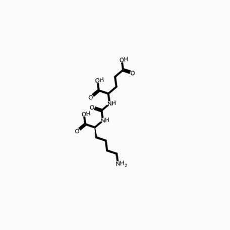 NCCCC[C@H](NC(=O)NC(CCC(=O)O)C(=O)O)C(=O)O